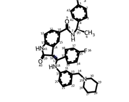 Cc1ccc([C@@H](C)NC(=O)c2ccc3c(c2)/C(=C(/Nc2cccc(CN4CCCCC4)c2)c2ccc(F)cc2)C(=O)N3)cc1